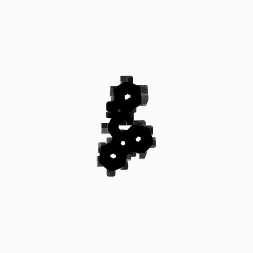 c1ccc2c(c1)-c1ccccc1C2Cc1nc2ccccc2s1